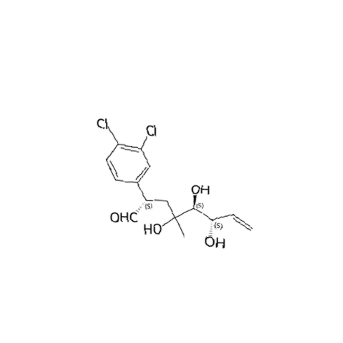 C=C[C@H](O)[C@H](O)C(C)(O)C[C@H](C=O)c1ccc(Cl)c(Cl)c1